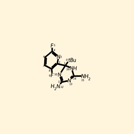 CC(C)(C)C1(c2nc(F)ccc2F)N=C(N)N=C(N)N1